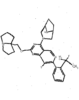 CC(C)(F)c1ccccc1-c1ncc2c(N3CC4CCC(C3)N4)nc(OCC34CCCN3CCC4)nc2c1F